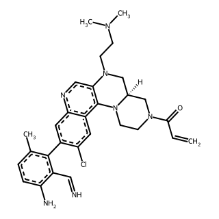 C=CC(=O)N1CCN2c3c(cnc4cc(-c5c(C)ccc(N)c5C=N)c(Cl)cc34)N(CCN(C)C)C[C@H]2C1